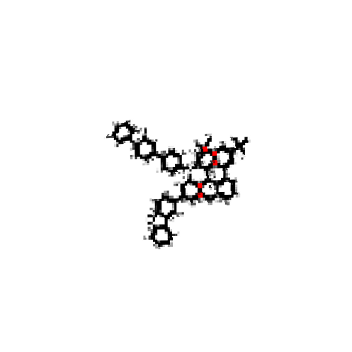 CC(C)(C)c1cc(-c2cccc3cccc(-c4ccccc4N(c4ccc(-c5ccc6c(c5)oc5ccccc56)cc4)c4cccc(-c5ccc6oc7ccccc7c6c5)c4)c23)cc(C(C)(C)C)c1